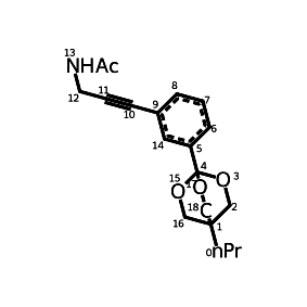 CCCC12COC(c3cccc(C#CCNC(C)=O)c3)(OC1)OC2